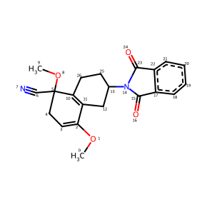 COC1=CCC(C#N)(OC)C2=C1CC(N1C(=O)c3ccccc3C1=O)CC2